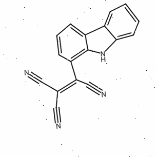 N#CC(C#N)=C(C#N)c1cccc2c1[nH]c1ccccc12